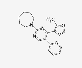 Cc1occc1-c1nc(N2CCCCCC2)ncc1-c1ccccn1